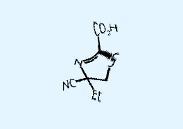 CCC1(C#N)CSC(C(=O)O)=N1